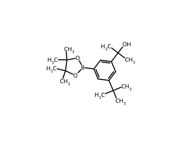 CC(C)(C)c1cc(B2OC(C)(C)C(C)(C)O2)cc(C(C)(C)O)c1